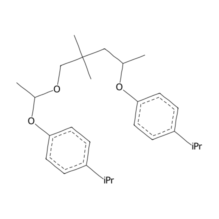 CC(CC(C)(C)COC(C)Oc1ccc(C(C)C)cc1)Oc1ccc(C(C)C)cc1